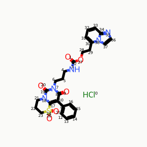 Cl.O=C(NCCCn1c(=O)c(-c2ccccc2)c2n(c1=O)CCCS2(=O)=O)OCCc1cccc2nccn12